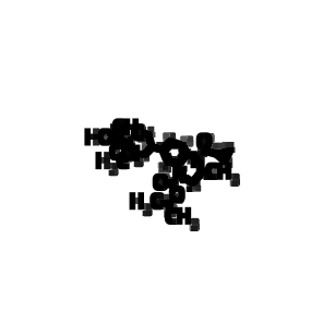 CCC(CN(C)CC(C)(C)O)c1ccc2c(c1)N(C(=O)OC(C)C)C[C@H](C)N2C(=O)C1CC1